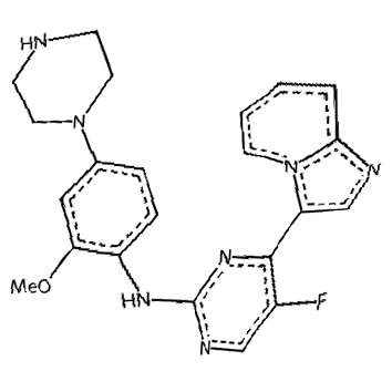 COc1cc(N2CCNCC2)ccc1Nc1ncc(F)c(-c2cnc3ccccn23)n1